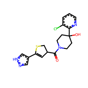 O=C(C1C=C(c2cn[nH]c2)SC1)N1CCC(O)(c2ncccc2Cl)CC1